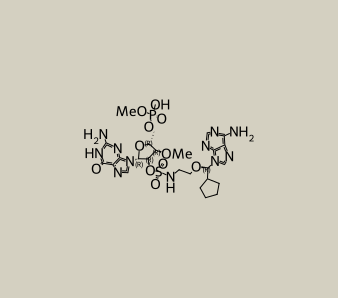 CO[C@H]1[C@@H](OS(=O)(=O)NCCO[C@H](C2CCCC2)n2cnc3c(N)ncnc32)[C@H](n2cnc3c(=O)[nH]c(N)nc32)O[C@@H]1COP(=O)(O)OC